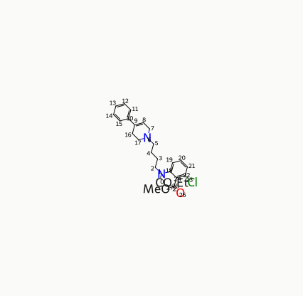 CCOC(=O)N(CCCCN1CC=C(c2ccccc2)CC1)c1cccc(Cl)c1C(=O)OC